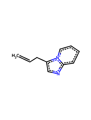 C=CCc1cnc2ccccn12